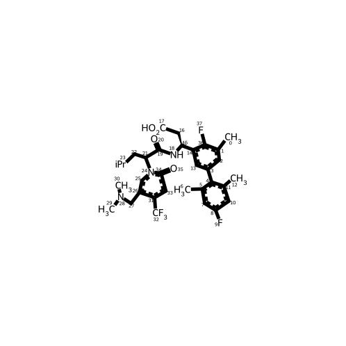 Cc1cc(-c2c(C)cc(F)cc2C)cc([C@H](CC(=O)O)NC(=O)C(CC(C)C)n2cc(CN(C)C)c(C(F)(F)F)cc2=O)c1F